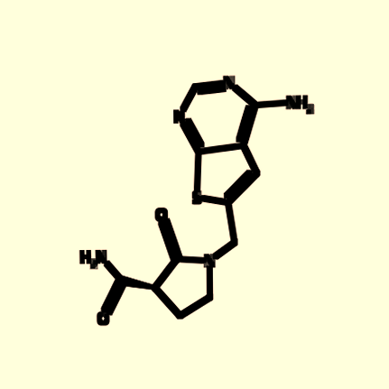 NC(=O)[C@@H]1CCN(Cc2cc3c(N)ncnc3s2)C1=O